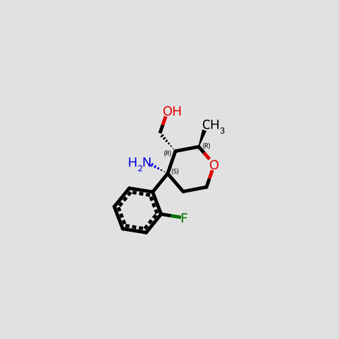 C[C@H]1OCC[C@@](N)(c2ccccc2F)[C@@H]1CO